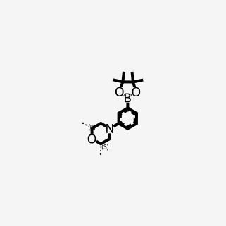 C[C@@H]1CN(c2cccc(B3OC(C)(C)C(C)(C)O3)c2)C[C@H](C)O1